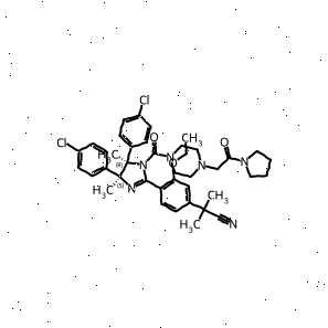 CCOc1cc(C(C)(C)C#N)ccc1C1=N[C@@](C)(c2ccc(Cl)cc2)[C@@](C)(c2ccc(Cl)cc2)N1C(=O)N1CCN(CC(=O)N2CCCC2)CC1